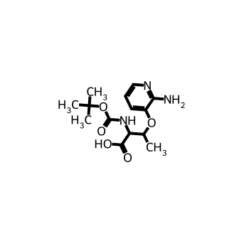 CC(Oc1cccnc1N)C(NC(=O)OC(C)(C)C)C(=O)O